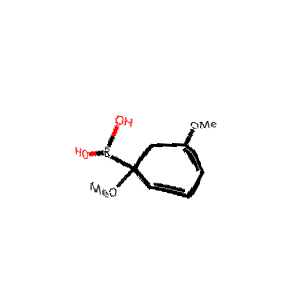 COC1=CC=CC(OC)(B(O)O)C1